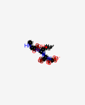 O=S(=O)([O-])c1ccc(S(=O)(=O)[O-])c(N=Nc2ccc(N=Nc3ccc(N=Nc4c(S(=O)(=O)O)cc5cc(Nc6ccccc6)ccc5c4[O-])c4ccccc34)c3cc(S(=O)(=O)[O-])ccc23)c1.[Na+].[Na+].[Na+].[Na+]